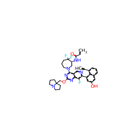 C#Cc1cccc2cc(O)cc(-c3ncc4c(N5CCCC(F)(F)[C@@H](NC(=O)C=C)C5)nc(OCC56CCCN5CCC6)nc4c3F)c12